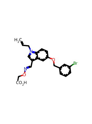 C=CCn1cc(C=NOCC(=O)O)c2cc(OCc3cccc(Br)c3)ccc21